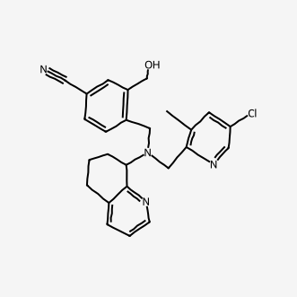 Cc1cc(Cl)cnc1CN(Cc1ccc(C#N)cc1CO)C1CCCc2cccnc21